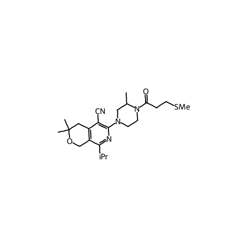 CSCCC(=O)N1CCN(c2nc(C(C)C)c3c(c2C#N)CC(C)(C)OC3)CC1C